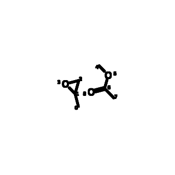 CC1CO1.COC(C)=O